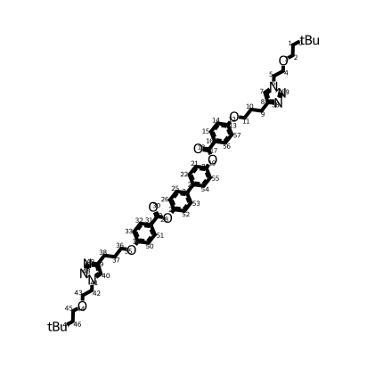 CC(C)(C)CCOCCn1cc(CCCOc2ccc(C(=O)Oc3ccc(-c4ccc(OC(=O)c5ccc(OCCCc6cn(CCOCCC(C)(C)C)nn6)cc5)cc4)cc3)cc2)nn1